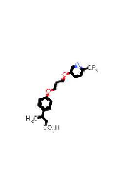 CC(CC(=O)O)c1ccc(OCCCOc2ccc(C(F)(F)F)nc2)cc1